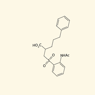 CC(=O)Nc1ccccc1S(=O)(=O)CC(CCCc1ccccc1)C(=O)O